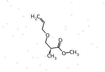 C=CCOC[C@H](C)C(=O)OC